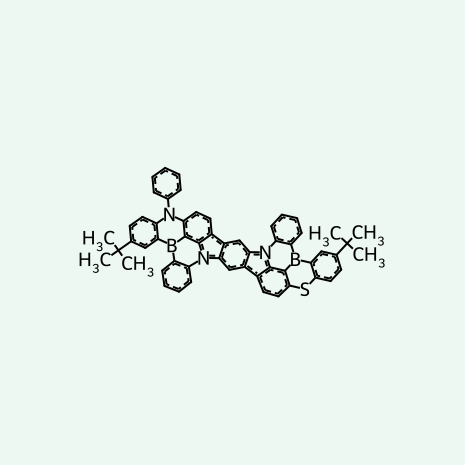 CC(C)(C)c1ccc2c(c1)B1c3ccccc3-n3c4cc5c6ccc7c8c6n(c5cc4c4ccc(c1c43)S2)-c1ccccc1B8c1cc(C(C)(C)C)ccc1N7c1ccccc1